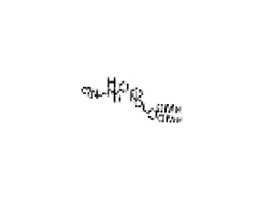 COc1ccc(CCOc2cccc(-c3cccc(C(=O)NCCCN4CCOCC4)c3)n2)cc1OC